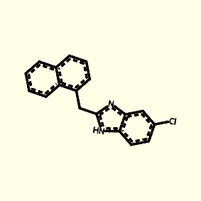 Clc1ccc2[nH]c(Cc3cccc4ccccc34)nc2c1